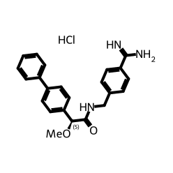 CO[C@H](C(=O)NCc1ccc(C(=N)N)cc1)c1ccc(-c2ccccc2)cc1.Cl